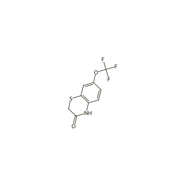 O=C1CSc2cc(OC(F)(F)F)ccc2N1